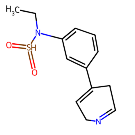 CCN(c1cccc(C2=CCN=CC2)c1)[SH](=O)=O